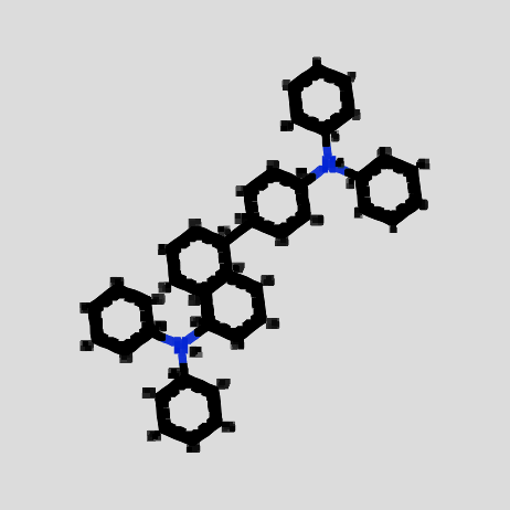 c1ccc(N(c2ccccc2)c2ccc(-c3cccc4c(N(c5ccccc5)c5ccccc5)cccc34)cc2)cc1